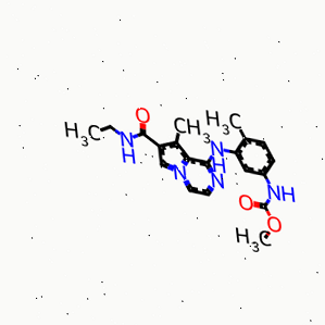 CCNC(=O)c1cn2ccnc(Nc3cc(NC(=O)OC)ccc3C)c2c1C